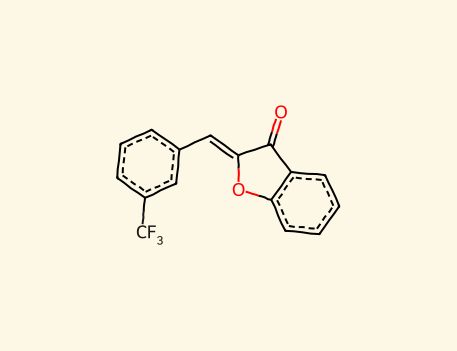 O=C1/C(=C/c2cccc(C(F)(F)F)c2)Oc2ccccc21